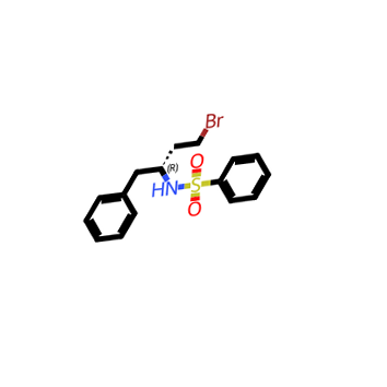 O=S(=O)(N[C@@H](CCBr)Cc1ccccc1)c1ccccc1